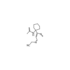 C=N/C(=C\C=N/CC#N)C1(NC(=C)C)CCCCC1